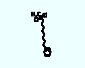 C[Si](Cl)(Cl)CCCCCCCCC1CC2C=CC1C2